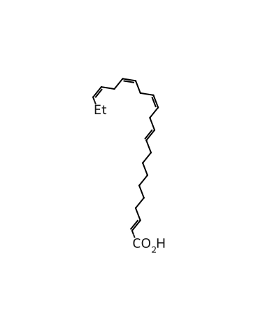 CC/C=C\C/C=C\C/C=C\C/C=C/CCCCCCC=CC(=O)O